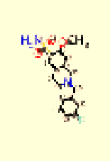 COc1cc2c(cc1S(N)(=O)=O)CCN(Cc1cccc(F)c1)C2